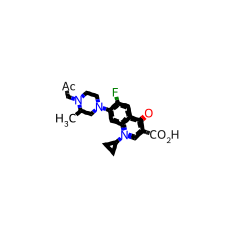 CC(=O)CN1CCN(c2cc3c(cc2F)c(=O)c(C(=O)O)cn3C2CC2)CC1C